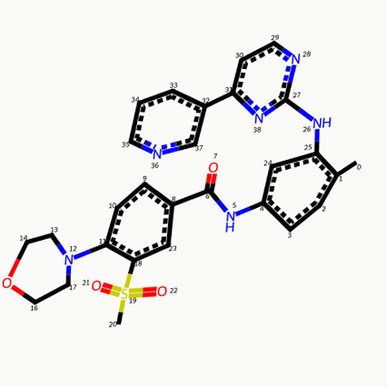 Cc1ccc(NC(=O)c2ccc(N3CCOCC3)c(S(C)(=O)=O)c2)cc1Nc1nccc(-c2cccnc2)n1